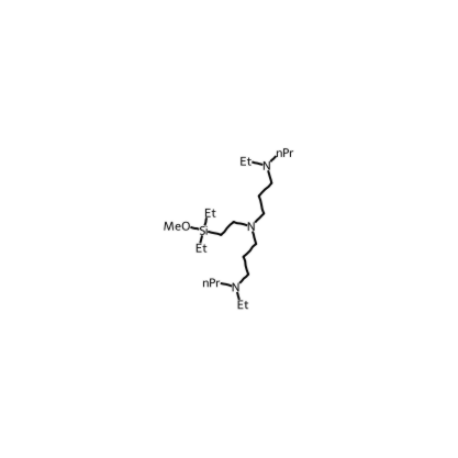 CCCN(CC)CCCN(CCCN(CC)CCC)CC[Si](CC)(CC)OC